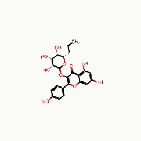 CCC[C@@H]1OC(Oc2c(-c3ccc(O)cc3)oc3cc(O)cc(O)c3c2=O)[C@H](O)[C@H](O)[C@H]1O